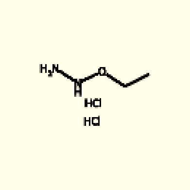 CCONN.Cl.Cl